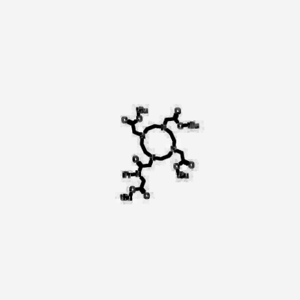 CC(C)N(CC(=O)OC(C)(C)C)C(=O)CN1CCN(CC(=O)OC(C)(C)C)CCN(CC(=O)OC(C)(C)C)CCN(CC(=O)OC(C)(C)C)CC1